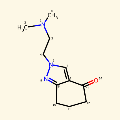 CN(C)CCn1cc2c(n1)CCCC2=O